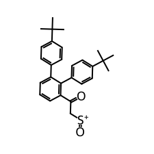 CC(C)(C)c1ccc(-c2cccc(C(=O)C[S+]=O)c2-c2ccc(C(C)(C)C)cc2)cc1